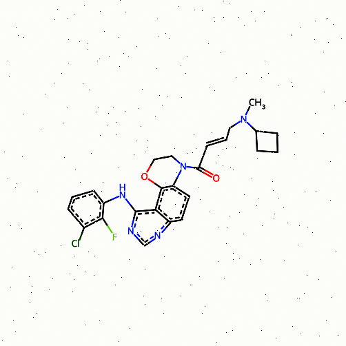 CN(C/C=C/C(=O)N1CCOc2c1ccc1ncnc(Nc3cccc(Cl)c3F)c21)C1CCC1